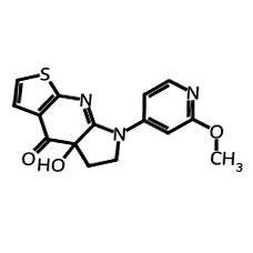 COc1cc(N2CCC3(O)C(=O)c4ccsc4N=C23)ccn1